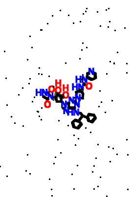 O=C(Nc1cccnc1)N[C@@H]1CCN(c2nc(NCC(c3ccccc3)c3ccccc3)c3ncn(C4C[C@H](N5C(=O)CNC5=O)[C@@H](O)[C@H]4O)c3n2)C1